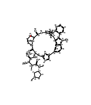 CCN1[C@H]2CCCN1C(=O)[C@]([SiH3])(NC(=O)[C@H](C(C)C)N(C)C(=O)N(C)[C@@H]1CCN(C)C1)Cc1nc(cs1)-c1ccc3c(c1)c(c(-c1cccnc1[C@H](C)OC)n3CC)CC(C)(C)COC2=O